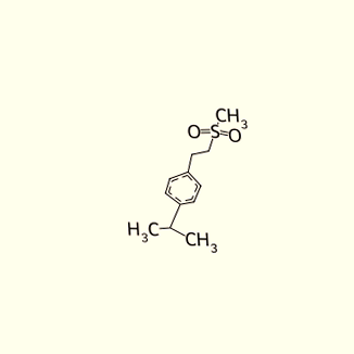 CC(C)c1ccc(CCS(C)(=O)=O)cc1